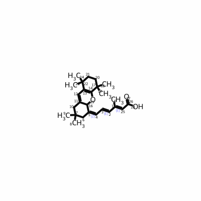 CC(/C=C/C=C1/CC(C)(C)CC2=CC3=C(OC21)C(C)(C)CCC3(C)C)=C\C(=O)O